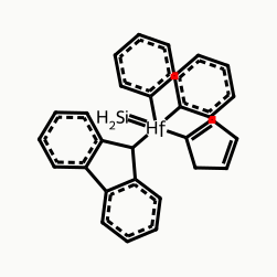 [SiH2]=[Hf]([C]1=CC=CC1)([c]1ccccc1)([c]1ccccc1)[CH]1c2ccccc2-c2ccccc21